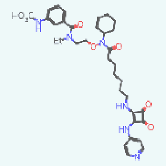 CCN(CCON(C(=O)CCCCCCNc1c(Nc2ccncc2)c(=O)c1=O)C1CCCCC1)C(=O)c1cccc(NC(=O)O)c1